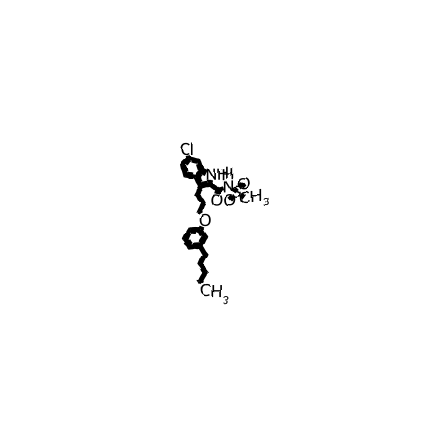 CCCCCc1cccc(OCCCc2c(C(=O)NS(C)(=O)=O)[nH]c3cc(Cl)ccc23)c1